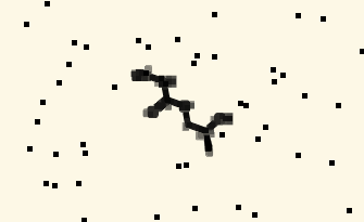 C[C@H](O)COC(=O)NC(C)(C)C